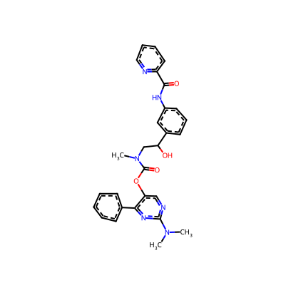 CN(CC(O)c1cccc(NC(=O)c2ccccn2)c1)C(=O)Oc1cnc(N(C)C)nc1-c1ccccc1